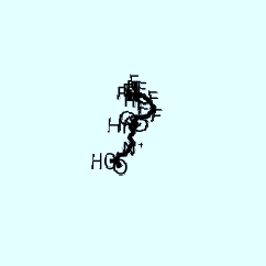 C[N+](C)(CCCNS(=O)(=O)CCC(F)(F)CC(F)(F)CC(F)(C(F)(F)F)C(F)(F)F)CCC(=O)O